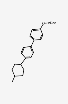 CCCCCCCCCCOc1ccc(-c2ccc(C3CCC(C)CC3)cc2)cc1